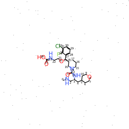 CNC[C@H](CC1CCOCC1)NC(=O)N1CCC[C@@H]([C@@H](OCCNC(=O)O)c2cccc(Cl)c2F)C1